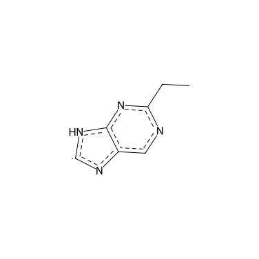 CCc1ncc2n[c][nH]c2n1